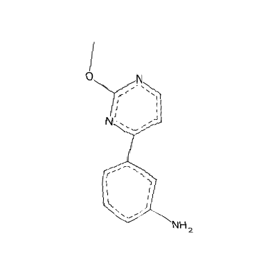 COc1nccc(-c2cccc(N)c2)n1